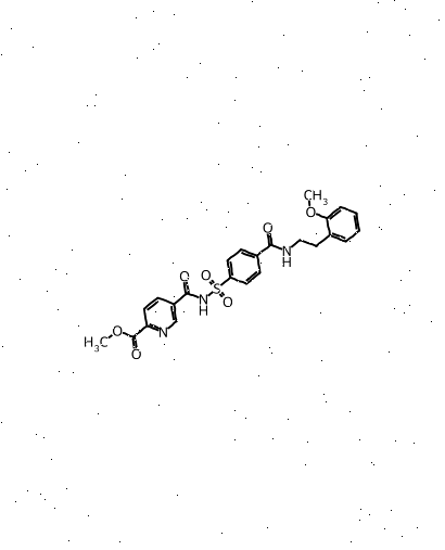 COC(=O)c1ccc(C(=O)NS(=O)(=O)c2ccc(C(=O)NCCc3ccccc3OC)cc2)cn1